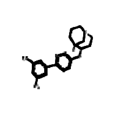 FC(F)(F)c1cc(-c2ccc(O[C@H]3CC[N@@]4CCC[C@H]3C4)nn2)cc(C(F)(F)F)c1